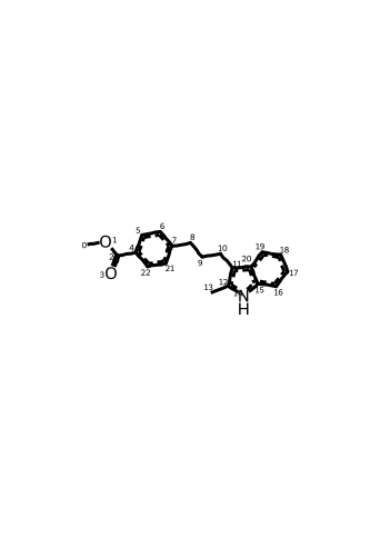 COC(=O)c1ccc(CCCc2c(C)[nH]c3ccccc23)cc1